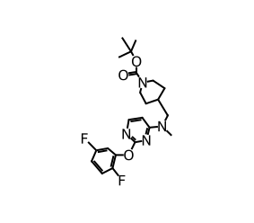 CN(CC1CCN(C(=O)OC(C)(C)C)CC1)c1ccnc(Oc2cc(F)ccc2F)n1